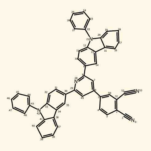 N#Cc1ccc(-c2cc(-c3ccc4c(c3)c3ccccc3n4-c3ccccc3)nc(-c3ccc4c(c3)c3ccccc3n4-c3ccccc3)c2)cc1C#N